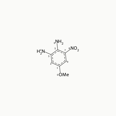 COc1cc(N)c(N)c([N+](=O)[O-])c1